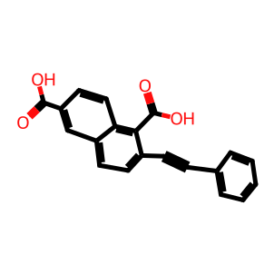 O=C(O)c1ccc2c(C(=O)O)c(C#Cc3ccccc3)ccc2c1